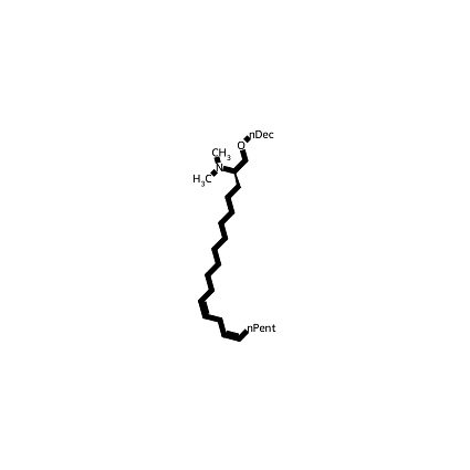 CCCCC/C=C\C/C=C\CCCCCCCCC[C@H](COCCCCCCCCCC)N(C)C